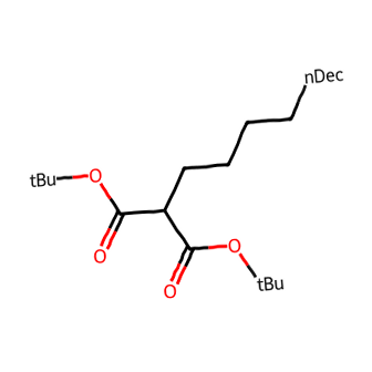 CCCCCCCCCCCCCCC(C(=O)OC(C)(C)C)C(=O)OC(C)(C)C